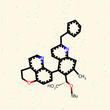 Cc1cc2nc(Cc3ccccc3)ccc2c(-c2ccc3c4c(ccnc24)CCO3)c1[C@H](OC(C)(C)C)C(=O)O